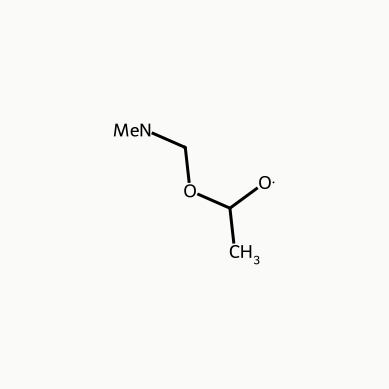 CNCOC(C)[O]